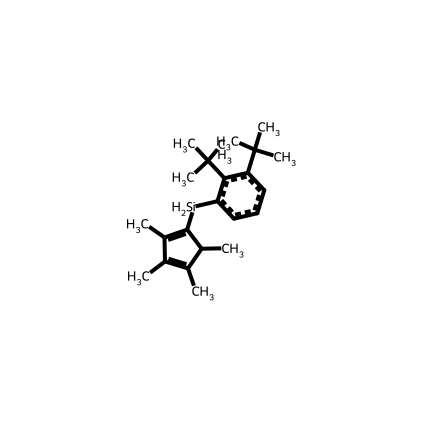 CC1=C(C)C(C)C([SiH2]c2cccc(C(C)(C)C)c2C(C)(C)C)=C1C